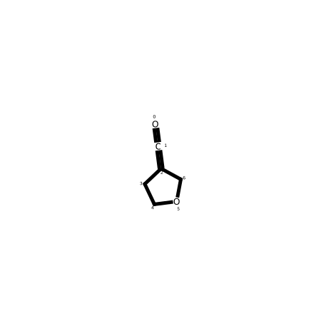 O=C=C1CCOC1